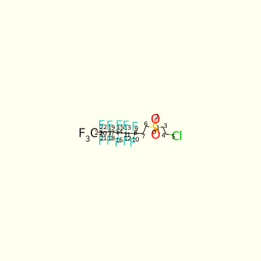 O=S(=O)(CCCl)CCC(F)(F)C(F)(F)C(F)(F)C(F)(F)C(F)(F)C(F)(F)F